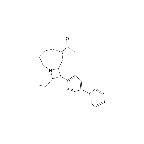 CCC1C(c2ccc(-c3ccccc3)cc2)C2CN(C(C)=O)CCCCN12